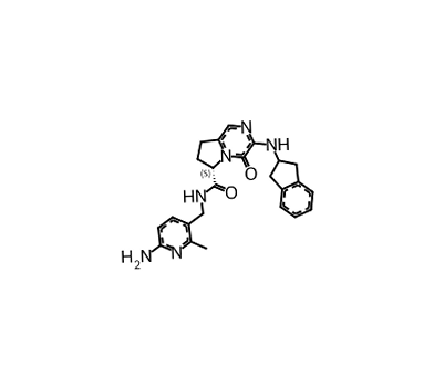 Cc1nc(N)ccc1CNC(=O)[C@@H]1CCc2cnc(NC3Cc4ccccc4C3)c(=O)n21